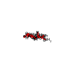 CC[C@H](C)[C@@H]([C@@H](CC(=O)N1CCC[C@H]1[C@H](OC)[C@@H](C)C(=O)N[C@H](C)[C@@H](O)c1ccccc1)OC)N(C)C(=O)[C@@H](NC(=O)[C@H](C(C)C)N(C)C(=O)OCc1ccc(NC(=O)[C@H](CCCNC(N)=O)NC(=O)[C@@H](N)C(C)C)cc1C(=O)NCCN(C)C)C(C)C